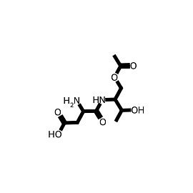 CC(=O)OCC(NC(=O)C(N)CC(=O)O)C(C)O